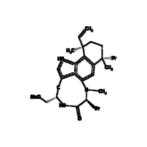 C=C[C@@]1(C)CC[C@](C)(C(C)C)c2cc3c4c(c[nH]c4c21)C[C@@H](COC)NC(=O)[C@H](C(C)C)N3C